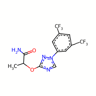 CC(Oc1ncn(-c2cc(C(F)(F)F)cc(C(F)(F)F)c2)n1)C(N)=O